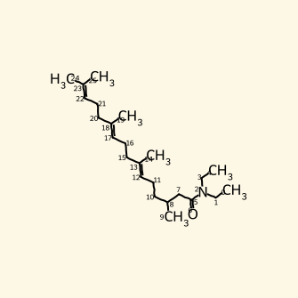 CCN(CC)C(=O)CC(C)CC/C=C(\C)CC/C=C(\C)CCC=C(C)C